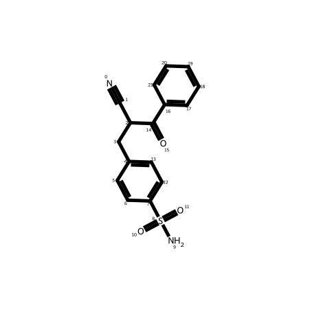 N#CC(Cc1ccc(S(N)(=O)=O)cc1)C(=O)c1ccccc1